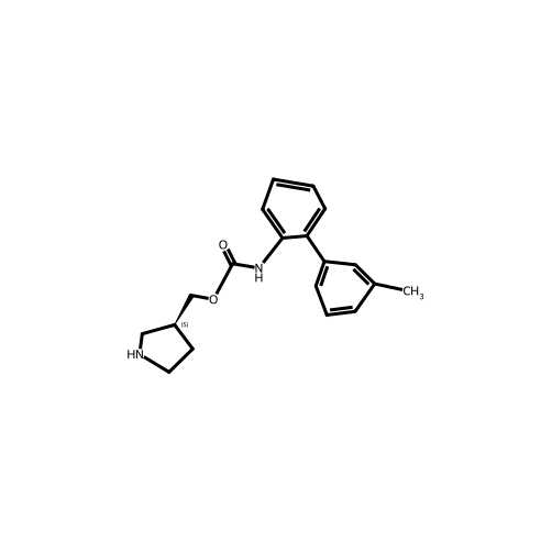 Cc1cccc(-c2ccccc2NC(=O)OC[C@H]2CCNC2)c1